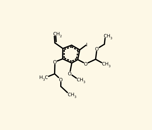 C=Cc1cc(I)c(OC(C)OCC)c(OC)c1OC(C)OCC